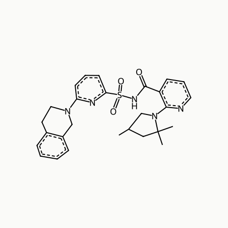 CC1CN(c2ncccc2C(=O)NS(=O)(=O)c2cccc(N3CCc4ccccc4C3)n2)C(C)(C)C1